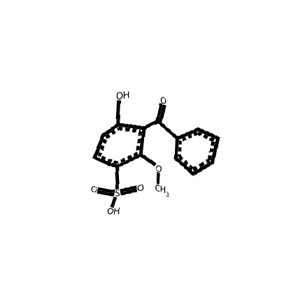 COc1c(S(=O)(=O)O)ccc(O)c1C(=O)c1ccccc1